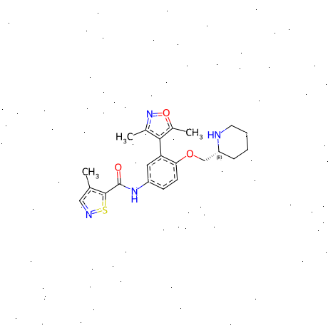 Cc1cnsc1C(=O)Nc1ccc(OC[C@H]2CCCCN2)c(-c2c(C)noc2C)c1